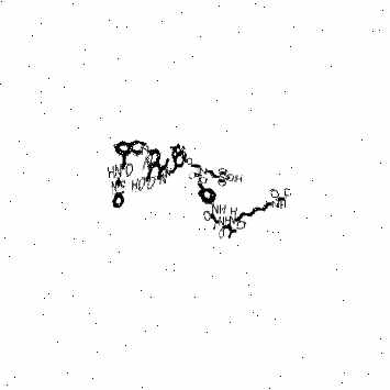 Cc1c(-c2ccc(N3CCc4cccc(C(=O)Nc5nc6ccccc6s5)c4C3)nc2C(=O)O)cnn1CC12CC3(OCCN(CCS(=O)(=O)O)C(=O)OCc4ccc(NC(=O)[C@H](C)NC(=O)C(NC(=O)CCCCCNC(=O)CCl)C(C)C)cc4)CC4(C)CC(C)(C1)C4(C2)C3